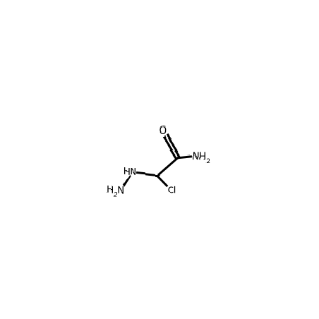 NNC(Cl)C(N)=O